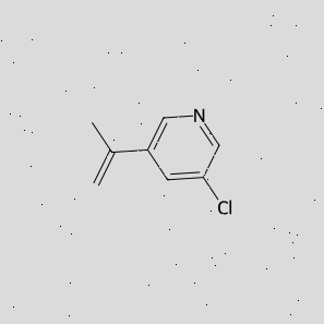 C=C(C)c1cncc(Cl)c1